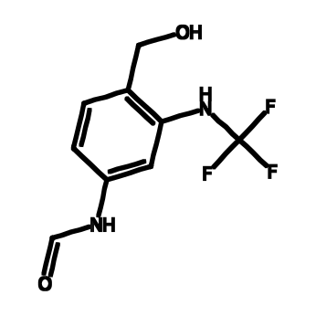 O=CNc1ccc(CO)c(NC(F)(F)F)c1